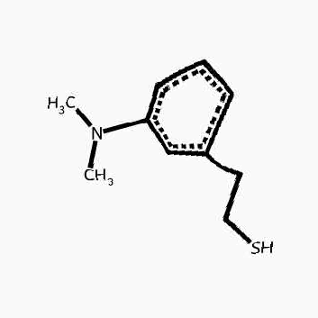 CN(C)c1cccc(CCS)c1